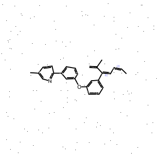 C=C(C)/C(=C\C=C/C)c1cccc(Oc2cccc(-c3ccc(C)cn3)c2)c1